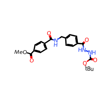 COC(=O)c1ccc(C(=O)NCc2ccc(C(=O)NNC(=O)OC(C)(C)C)cc2)cc1